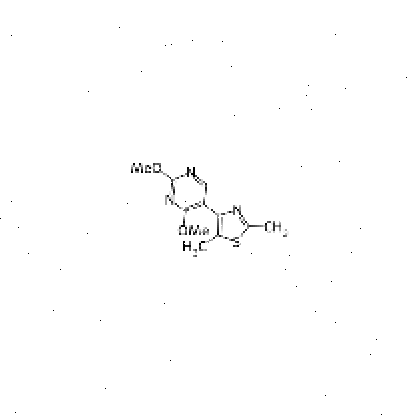 COc1ncc(-c2nc(C)sc2C)c(OC)n1